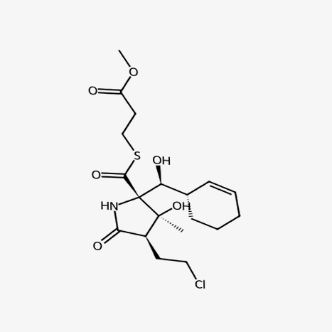 COC(=O)CCSC(=O)[C@]1([C@@H](O)[C@@H]2C=CCCC2)NC(=O)[C@H](CCCl)[C@]1(C)O